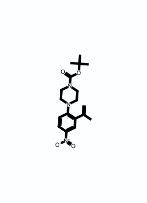 C=C(C)c1cc([N+](=O)[O-])ccc1N1CCN(C(=O)OC(C)(C)C)CC1